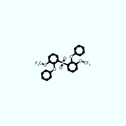 O=S(=O)(c1cccc(OC(F)(F)F)c1Oc1ccccc1)c1cccc(OC(F)(F)F)c1Oc1ccccc1